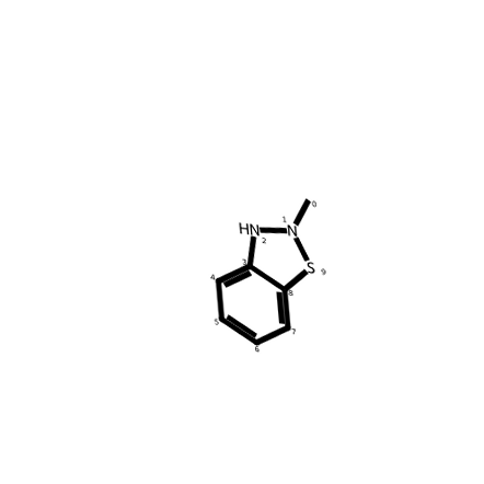 CN1Nc2ccccc2S1